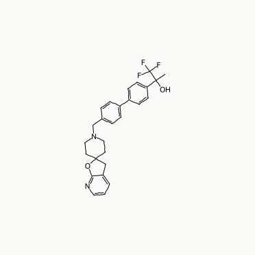 CC(O)(c1ccc(-c2ccc(CN3CCC4(CC3)Cc3cccnc3O4)cc2)cc1)C(F)(F)F